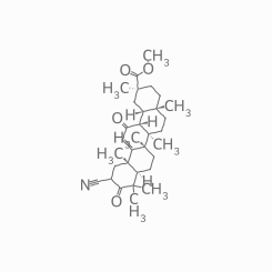 COC(=O)[C@@]1(C)CC[C@]2(C)CC[C@]3(C)[C@H](C(=O)C=C4[C@@]5(C)CC(C#N)C(=O)C(C)(C)[C@@H]5CC[C@]43C)[C@@H]2C1